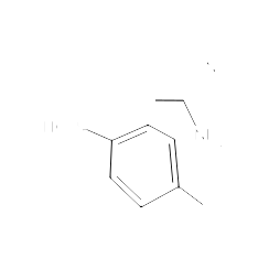 C[C@@H](N)C#N.Cc1ccc(S(=O)(=O)O)cc1